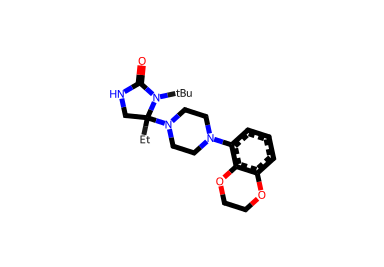 CCC1(N2CCN(c3cccc4c3OCCO4)CC2)CNC(=O)N1C(C)(C)C